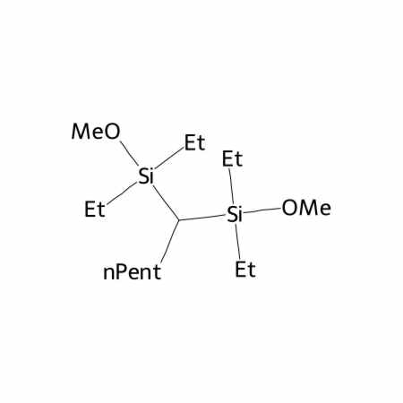 CCCCCC([Si](CC)(CC)OC)[Si](CC)(CC)OC